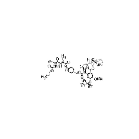 C=CCOC(=O)N[C@H](C(=O)N[C@@H](C)C(=O)Nc1ccc(COC(=O)Nc2cc(O[Si](C(C)C)(C(C)C)C(C)C)c(OC)cc2C(=O)N2CC3(CC3)C[C@H]2CO[Si](C)(C)C(C)(C)C)cc1)C(C)C